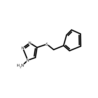 Nn1cc(SCc2ccccc2)nn1